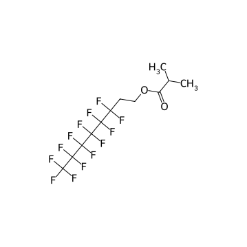 CC(C)C(=O)OCCC(F)(F)C(F)(F)C(F)(F)C(F)(F)C(F)(F)C(F)(F)F